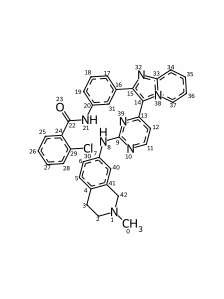 CN1CCc2ccc(Nc3nccc(-c4c(-c5cccc(NC(=O)c6ccccc6Cl)c5)nc5ccccn45)n3)cc2C1